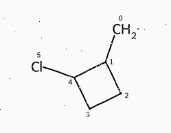 [CH2]C1CCC1Cl